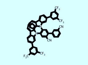 N#Cc1cccc(-c2cc(-n3c4ccccc4c4ccc(-c5cc(C(F)(F)F)cc(C(F)(F)F)c5)cc43)c(-n3c4ccccc4c4ccc(-c5cc(C(F)(F)F)cc(C(F)(F)F)c5)cc43)cc2C#N)c1